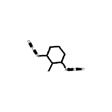 [CH]C1C(N=C=O)CCCC1N=C=O